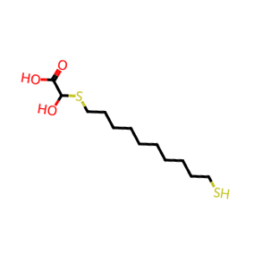 O=C(O)C(O)SCCCCCCCCCCS